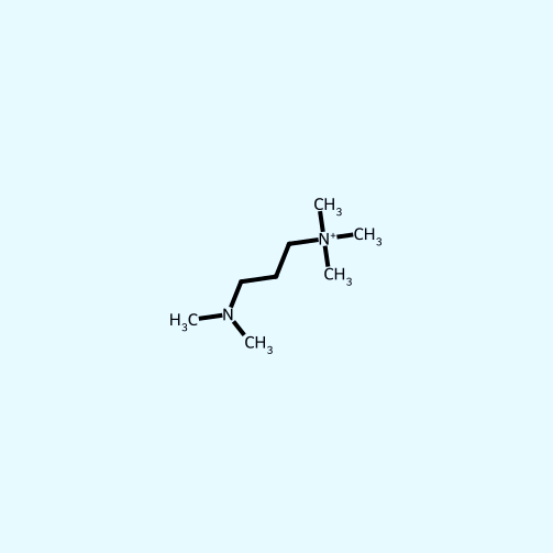 CN(C)CCC[N+](C)(C)C